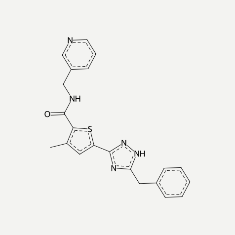 Cc1cc(-c2n[nH]c(Cc3ccccc3)n2)sc1C(=O)NCc1cccnc1